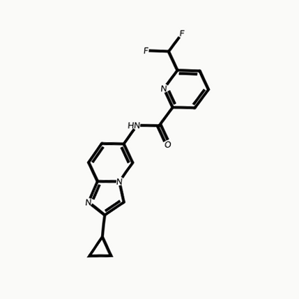 O=C(Nc1ccc2nc(C3CC3)cn2c1)c1cccc(C(F)F)n1